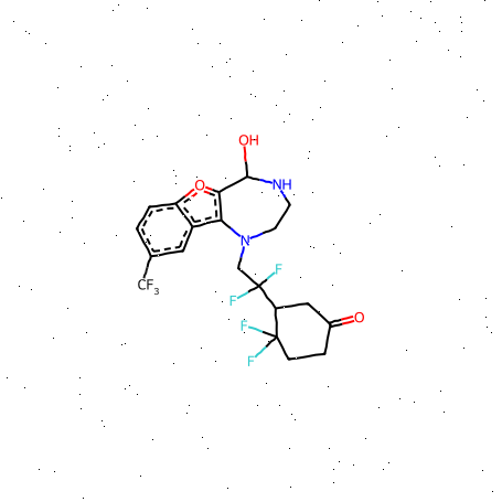 O=C1CCC(F)(F)C(C(F)(F)CN2CCNC(O)c3oc4ccc(C(F)(F)F)cc4c32)C1